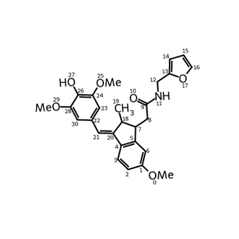 COc1ccc2c(c1)C(CC(=O)NCc1ccco1)C(C)C2=Cc1cc(OC)c(O)c(OC)c1